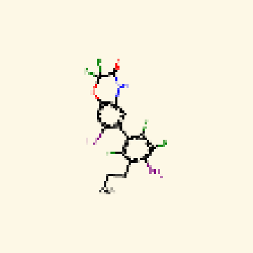 COCCc1c(F)c(-c2cc3c(cc2P)OC(F)(F)C(=O)N3)c(F)c(F)c1P